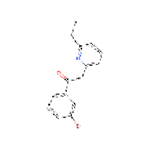 CCc1cccc(CC(=O)c2cccc(Br)c2)n1